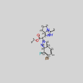 C=C1NC(C(C(=O)OCC)n2cc3ccc(Br)c(F)c3n2)=C2CCCN12